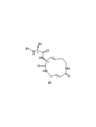 CC(C)N[C@H](C(=O)N[C@H]1/C=C/CCNC(=O)/C=C/[C@H](C(C)C)NC1=O)C(C)C